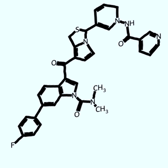 CN(C)C(=O)n1cc(C(=O)c2ccn3c2CSC3C2=CN(NC(=O)c3cccnc3)CC=C2)c2ccc(-c3ccc(F)cc3)cc21